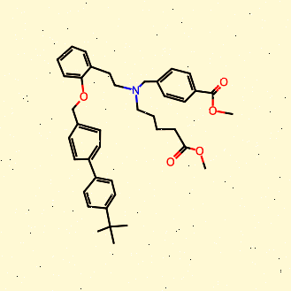 COC(=O)CCCCN(CCc1ccccc1OCc1ccc(-c2ccc(C(C)(C)C)cc2)cc1)Cc1ccc(C(=O)OC)cc1